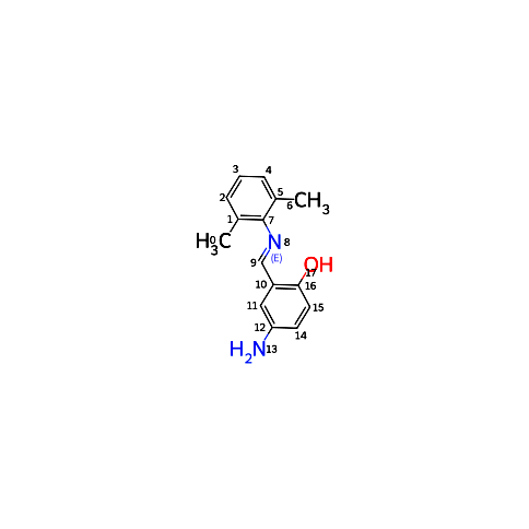 Cc1cccc(C)c1/N=C/c1cc(N)ccc1O